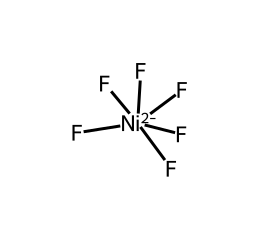 [F][Ni-2]([F])([F])([F])([F])[F]